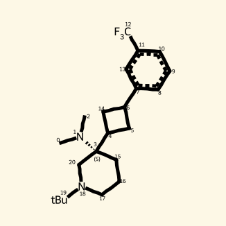 CN(C)[C@]1(C2CC(c3cccc(C(F)(F)F)c3)C2)CCCN(C(C)(C)C)C1